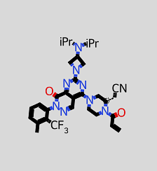 C=CC(=O)N1CCN(c2nc(N3CC(N(C(C)C)C(C)C)C3)nc3c(=O)n(-c4cccc(C)c4C(F)(F)F)ncc23)C[C@@H]1CC#N